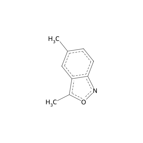 Cc1ccc2noc(C)c2c1